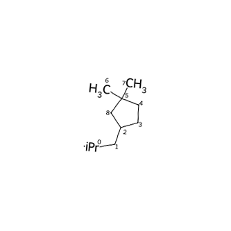 C[C](C)CC1CCC(C)(C)C1